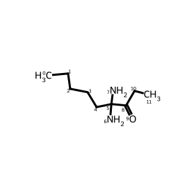 CCCCCC(N)(N)C(=O)CC